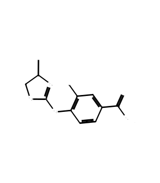 CC1CNC(Nc2ccc(C(N)=O)cc2Cl)=N1